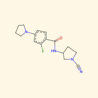 N#CN1CCC(NC(=O)c2ccc(N3CCCC3)cc2F)C1